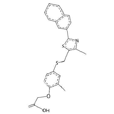 C=C(O)COc1ccc(SCc2sc(-c3ccc4ccccc4c3)nc2C)cc1C